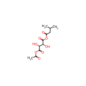 CC(=O)OC(=O)C(O)C(O)C(=O)OC(=O)CC(C)C